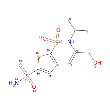 CC(C)N1C(CO)=Cc2cc(S(N)(=O)=O)sc2S1(=O)=O